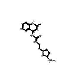 CC(=O)NC1CCN(CCNC(=O)Nc2cc(C)nc3ccccc23)C1